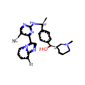 CCc1cccn2c(-c3nc(N[C@@H](C)c4ccc(C(O)[C@@H]5CCCN(C)C5)cc4)ncc3C#N)cnc12